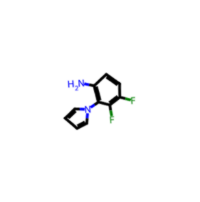 Nc1ccc(F)c(F)c1-n1cccc1